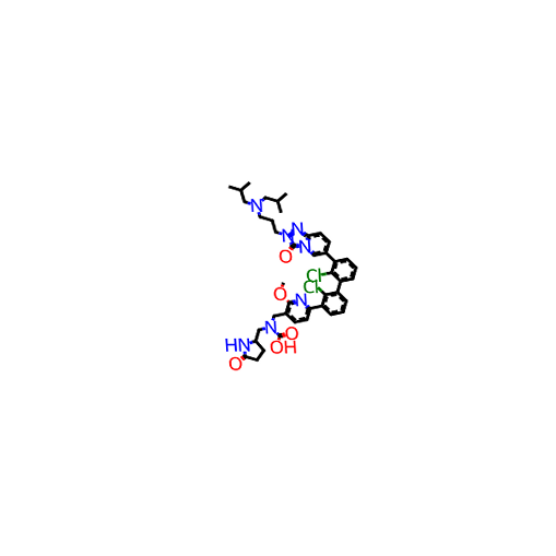 COc1nc(-c2cccc(-c3cccc(-c4ccc5nn(CCCN(CC(C)C)CC(C)C)c(=O)n5c4)c3Cl)c2Cl)ccc1CN(CC1CCC(=O)N1)C(=O)O